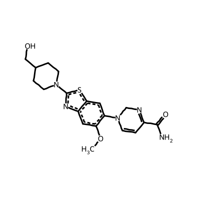 COc1cc2nc(N3CCC(CO)CC3)sc2cc1N1C=CC(C(N)=O)=NC1